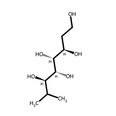 CC(C)[C@@H](O)[C@@H](O)[C@H](O)[C@H](O)CCO